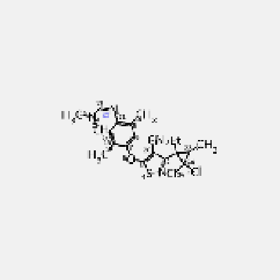 CCC1(c2nsc(Oc3cc(C)c(/N=C\N(C)C)cc3C)c2C#N)C(C)C1(Cl)Cl